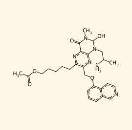 CC(=O)OCCCCCc1nc2c(nc1COc1cccc3cnccc13)N(CC(C)C)C(O)N(C)C2=O